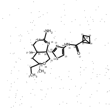 CC[C@@]1(C)C[C@H]2CSC(N)=N[C@@]2(c2nc(NC(=O)C3C4CC3C4)cs2)CO1